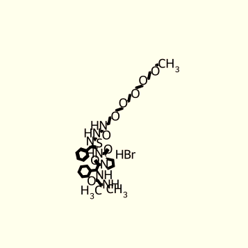 Br.CCOCCOCCOCCOCCOCCNC(=O)Nc1nc(-c2ccccc2)c(NC(=O)[C@@H]2CCCN2C(=O)[C@@H](NC(=O)[C@H](C)NC)C2CCCCC2)s1